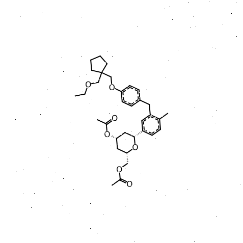 CCOCC1(COc2ccc(Cc3cc([C@H]4C[C@@H](OC(C)=O)C[C@@H](COC(C)=O)O4)ccc3C)cc2)CCCC1